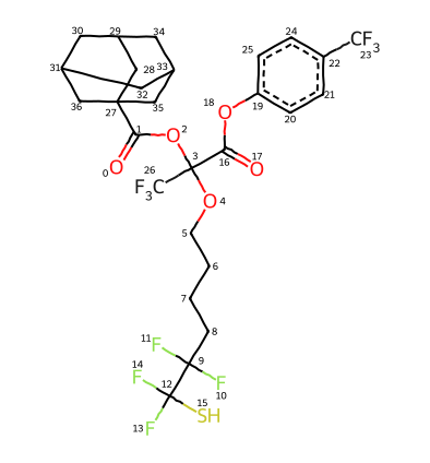 O=C(OC(OCCCCC(F)(F)C(F)(F)S)(C(=O)Oc1ccc(C(F)(F)F)cc1)C(F)(F)F)C12CC3CC(CC(C3)C1)C2